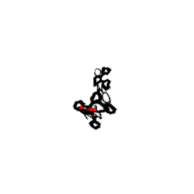 c1ccc(-c2nc(-c3ccccc3)nc(-c3cccc4oc5c(-n6c7ccccc7c7c8c(ccc76)oc6ccccc68)ccc(-c6ccccc6)c5c34)n2)cc1